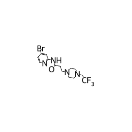 O=C(CCN1CCN(CC(F)(F)F)CC1)Nc1cc(Br)ccn1